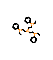 CCP(CCP(CCP(CC)c1ccccc1)CCP(CC)c1ccccc1)c1ccccc1